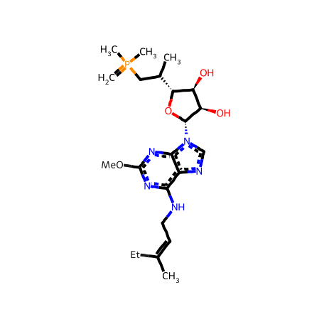 C=P(C)(C)CC(C)[C@H]1O[C@@H](n2cnc3c(NC/C=C(/C)CC)nc(OC)nc32)[C@H](O)[C@@H]1O